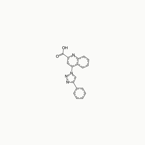 O=C(O)c1cc(-n2cc(-c3ccccc3)nn2)c2ccccc2n1